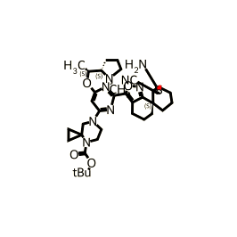 C[C@H](Oc1cc(N2CCN(C(=O)OC(C)(C)C)C3(CC3)C2)nc(-c2onc3c2CCC[C@@]32CCCc3sc(N)c(C#N)c32)n1)[C@@H]1CCCN1C